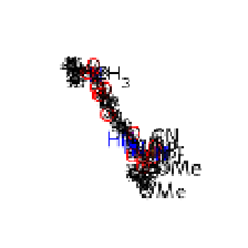 COc1ccc(C(OC[C@H]2O[C@@H](n3ccc(NC(=O)c4ccc(CCC(=O)Cc5ccc(OC(=O)OCCN(C)C(=O)OCC6c7ccccc7-c7ccccc76)cc5)cc4)nc3=O)C[C@H]2OP(OCCC#N)N(C(C)C)C(C)C)(c2ccccc2)c2ccc(OC)cc2)cc1